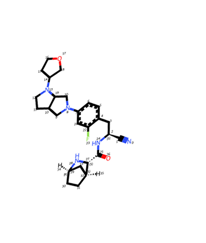 N#C[C@H](Cc1ccc(N2CC3CCN(C4CCOC4)C3C2)cc1F)NC(=O)[C@H]1N[C@@H]2CC[C@H]1C2